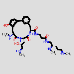 CNCCC[C@@H](CNC(=O)CCNC(=O)[C@@H]1Cc2cccc(c2)-c2ccc(O)c(c2)C[C@H](NC)C(=O)N[C@@H](C[C@@H](O)CNC)C(=O)N1)NC